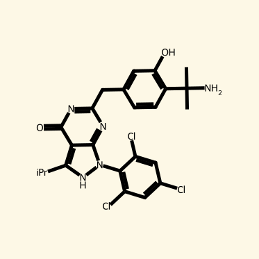 CC(C)c1[nH]n(-c2c(Cl)cc(Cl)cc2Cl)c2nc(Cc3ccc(C(C)(C)N)c(O)c3)nc(=O)c1-2